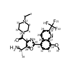 CCN1CCN(C(=O)c2nc(-c3ccc(OC)c4nc(C(F)(F)F)ccc34)oc2[C@H](C)N)CC1